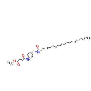 CCC=CCC=CCC=CCC=CCC=CCC=CCCC(=O)NCc1ccc(NC(=O)C=CC(=O)OC)cc1